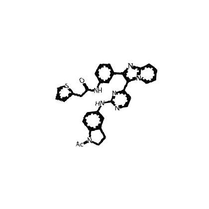 CC(=O)N1CCc2cc(Nc3nccc(-c4c(-c5cccc(NC(=O)Cc6cccs6)c5)nc5ccccn45)n3)ccc21